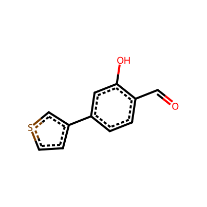 O=Cc1ccc(-c2ccsc2)cc1O